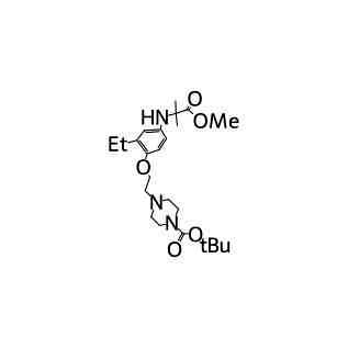 CCc1cc(NC(C)(C)C(=O)OC)ccc1OCCN1CCN(C(=O)OC(C)(C)C)CC1